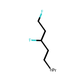 CCCCCC(F)CCF